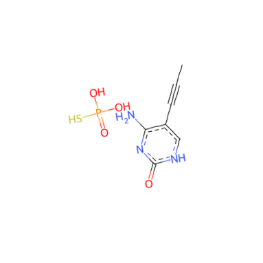 CC#Cc1c[nH]c(=O)nc1N.O=P(O)(O)S